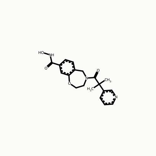 CC(C)(C(=O)N1CCOc2cc(C(=O)NO)ccc2C1)c1cccnc1